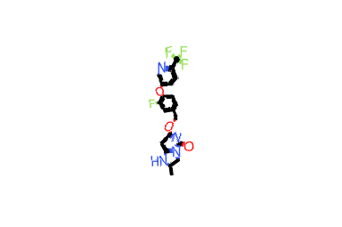 CC1Cn2c(cc(OCc3ccc(Oc4ccc(C(F)(F)F)nc4)c(F)c3)nc2=O)N1